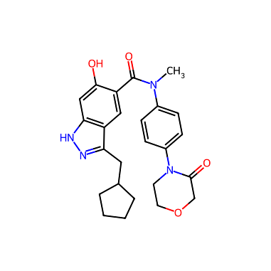 CN(C(=O)c1cc2c(CC3CCCC3)n[nH]c2cc1O)c1ccc(N2CCOCC2=O)cc1